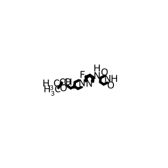 CC(C)(C)OC(=O)CC1CCN(c2ncc(NC3CCC(=O)NC3=O)cc2F)CC1